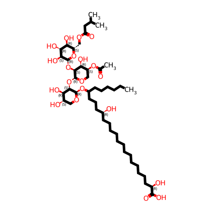 CCCCCCC(CCC[C@H](O)CCCCCCCCCCCCC[C@@H](O)C(=O)O)O[C@H]1OC[C@H](O)[C@@H](O)[C@@H]1O[C@H]1OC[C@H](OC(C)=O)[C@@H](O)[C@@H]1O[C@H]1O[C@@H](COC(=O)CC(C)C)[C@H](O)[C@@H](O)[C@@H]1O